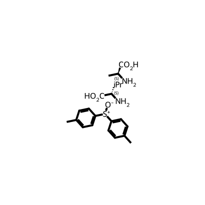 CC(C)[C@H](N)C(=O)O.C[C@H](N)C(=O)O.Cc1ccc([S+]([O-])c2ccc(C)cc2)cc1